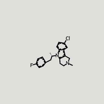 C[C@@H](Cc1ccc(F)cc1)n1c2c(c3cc(Cl)ccc31)CN(C)CC2